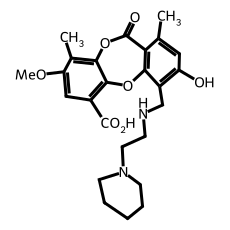 COc1cc(C(=O)O)c2c(c1C)OC(=O)c1c(C)cc(O)c(CNCCN3CCCCC3)c1O2